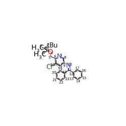 CC(C)(C)[Si](C)(C)OCc1ncc(N=C(c2ccccc2)c2ccccc2)cc1Cl